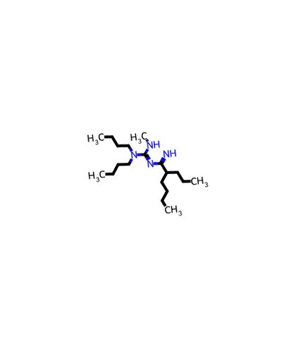 CCCCC(CCC)C(=N)/N=C(\NC)N(CCCC)CCCC